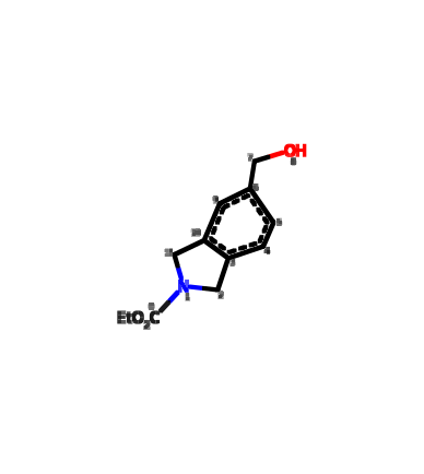 CCOC(=O)N1Cc2ccc(CO)cc2C1